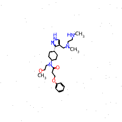 CNCCN(C)Cc1c[nH]nc1[C@H]1CC[C@H](N(CCOC)C(=O)CCOc2ccccc2)CC1